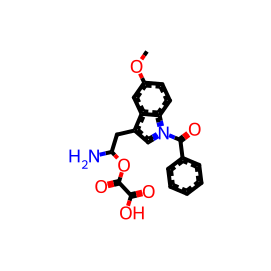 COc1ccc2c(c1)c(CC(N)OC(=O)C(=O)O)cn2C(=O)c1ccccc1